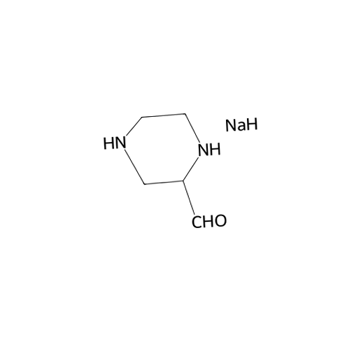 O=CC1CNCCN1.[NaH]